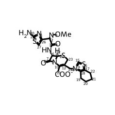 CO/N=C(\C(=O)N[C@@H]1C(=O)N2C(C(=O)[O-])=C(C[n+]3csc4c3CCCC4)CS[C@H]12)c1csc(N)n1